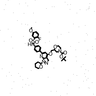 COc1ccc(F)c(S(=O)(=O)Nc2ccc(-c3cc(OCC4CN(C(=O)OC(C)(C)C)CCO4)c4cnn(C5CCCCO5)c4n3)cc2)c1